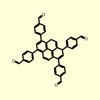 O=Cc1ccc(C2=CC(c3ccc(C=O)cc3)C3=CCc4c(-c5ccc(C=O)cc5)cc(-c5ccc(C=O)cc5)c5ccc2c3c45)cc1